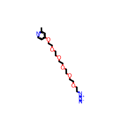 Cc1cc(OCCOCCOCCOCCOCCOCCN=[N+]=[N-])ccn1